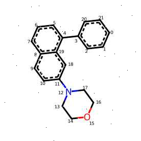 c1ccc(-c2cccc3ccc(N4CCOCC4)cc23)cc1